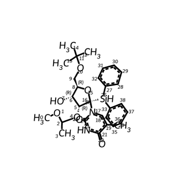 COC(C)O[C@@H]1[C@H](O)[C@@H](COC(C)(C)C)O[C@]1(n1cc(C)c(=O)[nH]c1=O)[SiH](c1ccccc1)c1ccccc1